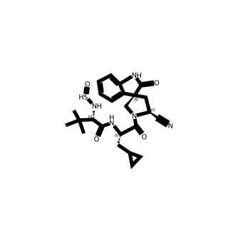 CC(C)(C)[C@H](N[SH]=O)C(=O)N[C@@H](CC1CC1)C(=O)N1C[C@]2(C[C@H]1C#N)C(=O)Nc1ccccc12